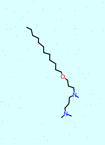 CCCCCCCCCCCCOCCCN(C)CCCN(C)C